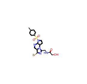 Cc1ccc(S(=O)(=O)n2ccc3c2ncc2c(Br)nc(CNC(=O)CO)n23)cc1